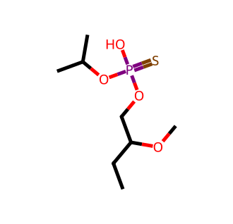 CCC(COP(O)(=S)OC(C)C)OC